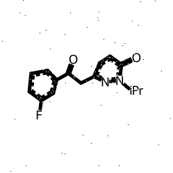 CC(C)n1nc(CC(=O)c2cccc(F)c2)ccc1=O